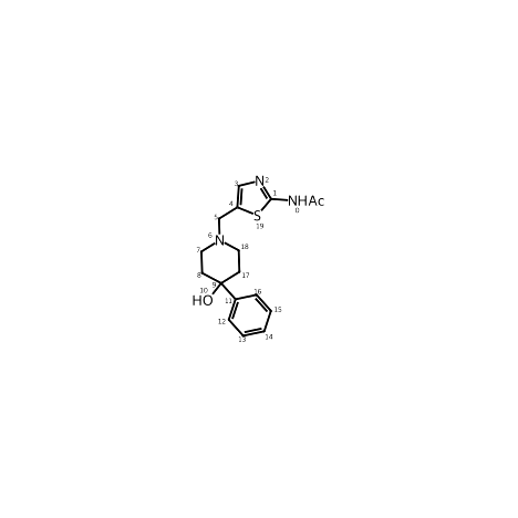 CC(=O)Nc1ncc(CN2CCC(O)(c3ccccc3)CC2)s1